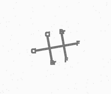 FC(F)(Br)C(Cl)(Cl)Br